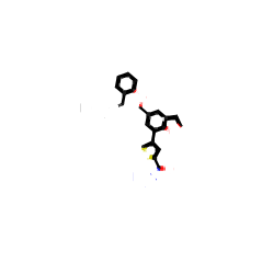 NC(=O)c1cc(-c2cc(COc3ccccc3CC(=O)O)cc3ccoc23)cs1